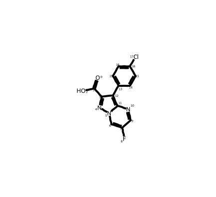 O=C(O)c1nn2cc(F)cnc2c1-c1ccc(Cl)cc1